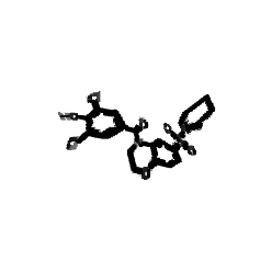 O=C(c1cc(Cl)c(O)c(Cl)c1)N1CCOc2ccc(S(=O)(=O)N3CCCC3)cc21